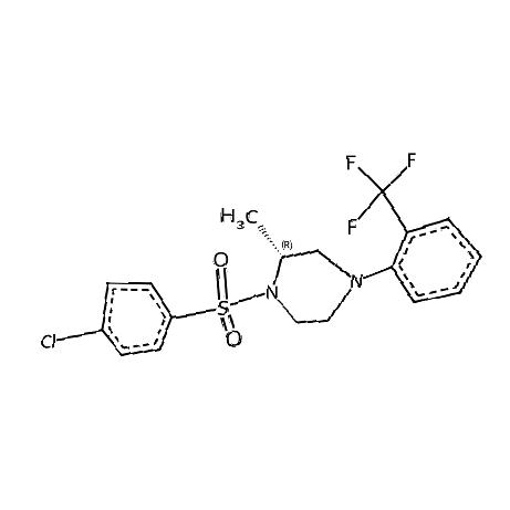 C[C@@H]1CN(c2ccccc2C(F)(F)F)CCN1S(=O)(=O)c1ccc(Cl)cc1